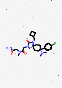 CN(CC(N)=O)C(=O)CN1C[C@]2(CC[C@](c3ccc(F)cc3)(N(C)C)CC2)N(CC2CCC2)C1=O